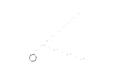 CCCCCCCCCCCCOC[C@H](COCc1ccccc1)OCCCCCCCCCCCC